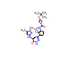 Cc1c(NC(=O)N2CC(OC(C)(C)C)C2)cccc1-c1cc(Nc2cc(C)n(C)n2)c(=O)[nH]n1